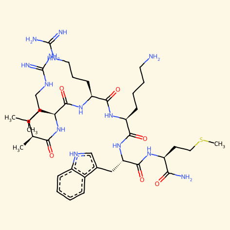 CSCC[C@H](NC(=O)[C@H](Cc1c[nH]c2ccccc12)NC(=O)[C@H](CCCCN)NC(=O)[C@H](CCCNC(=N)N)NC(=O)[C@H](CC(C)C)NC(=O)[C@@H](C)CCCNC(=N)N)C(N)=O